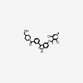 C=N/C=C(Cl)\C(=C(/C)Cl)[C@@H](C)Oc1ccc2[nH]nc(-c3cccc(C(=O)N4CCC(CO)CC4)c3)c2c1